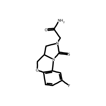 NC(=O)CN1CC2COc3ccc(F)cc3N2C1=S